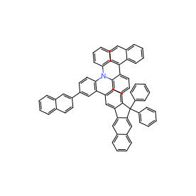 c1ccc(N(c2ccc(-c3ccc4ccccc4c3)cc2-c2ccc3c(c2)-c2cc4ccccc4cc2C3(c2ccccc2)c2ccccc2)c2ccccc2-c2cccc3ccccc23)cc1